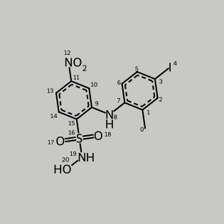 Cc1cc(I)ccc1Nc1cc([N+](=O)[O-])ccc1S(=O)(=O)NO